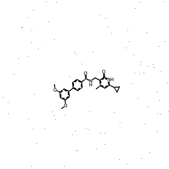 COc1cc(OC)cc(-c2ccc(C(=O)NCc3c(C)cc(C4CC4)[nH]c3=O)cc2)c1